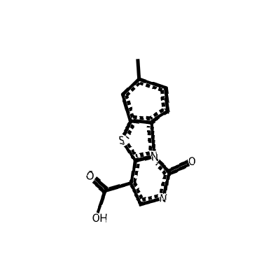 Cc1ccc2c(c1)sc1c(C(=O)O)cnc(=O)n12